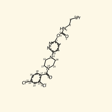 CC(C)CCNC(=O)Oc1ccc(N2CCN(C(=O)c3ccc(Cl)cc3Cl)CC2)nn1